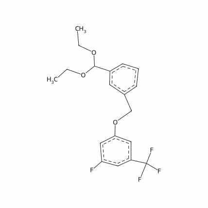 CCOC(OCC)c1cccc(COc2cc(F)cc(C(F)(F)F)c2)c1